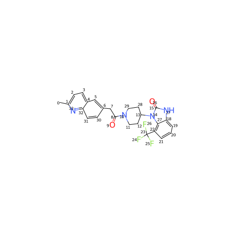 Cc1ccc2cc(CC(=O)N3CCC(n4c(=O)[nH]c5cccc(C(F)(F)F)c54)CC3)ccc2n1